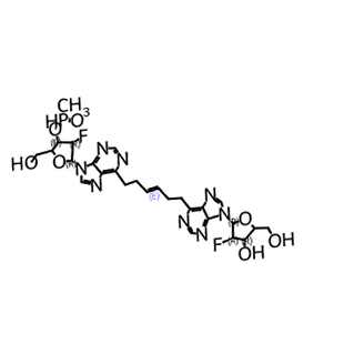 C[PH](=O)O[C@@H]1C(CO)O[C@@H](n2cnc3c(CC/C=C/CCc4ncnc5c4ncn5[C@@H]4OC(CO)[C@@H](O)[C@H]4F)ncnc32)[C@@H]1F